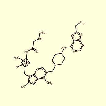 Cc1c(CN2CCC(Nc3ncnc4sc(CC(F)(F)F)cc34)CC2)ccc2c1cc(C#N)n2CC12CC(NC(=O)CNC=O)(C1)[C@H]2C